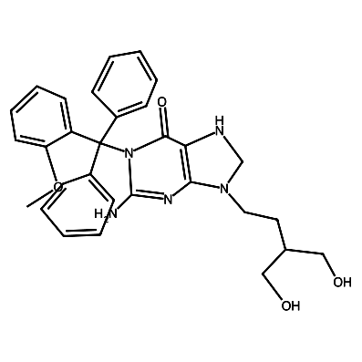 COc1ccccc1C(c1ccccc1)(c1ccccc1)n1c(N)nc2c(c1=O)NCN2CCC(CO)CO